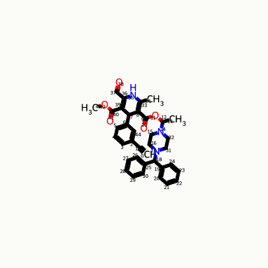 C#Cc1cccc(C2C(C(=O)OC(C)N3CCN(C(c4ccccc4)c4ccccc4)CC3)=C(C)NC(C=O)=C2C(=O)OC)c1